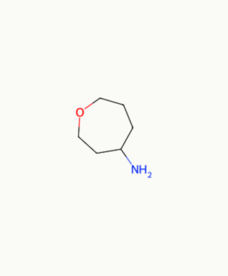 NC1CCCOCC1